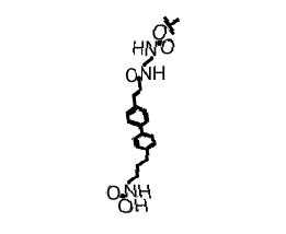 CC(C)(C)OC(=O)NCCNC(=O)CCc1ccc(-c2ccc(CCCCNC(=O)O)cc2)cc1